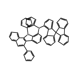 c1ccc(-c2cc3ccccc3c3c2c2cccc(N(c4ccccc4)c4cccc5c4-c4ccccc4C54c5ccccc5-c5ccccc54)c2n3-c2ccccc2)cc1